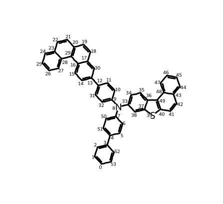 c1ccc(-c2ccc(N(c3ccc(-c4ccc5c(ccc6ccc7ccccc7c65)c4)cc3)c3ccc4c(c3)sc3ccc5ccccc5c34)cc2)cc1